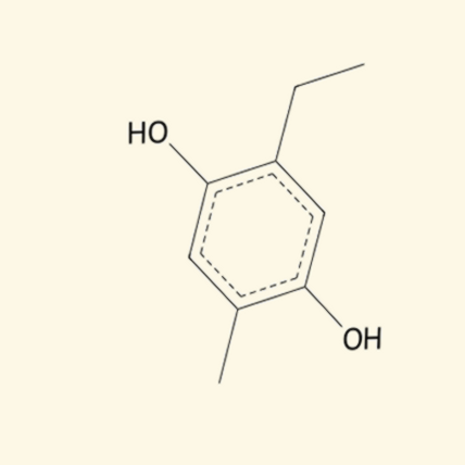 CCc1cc(O)c(C)cc1O